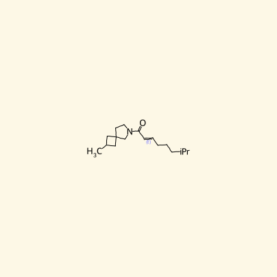 CC(C)CCC/C=C/C(=O)N1CCC2(CC(C)C2)C1